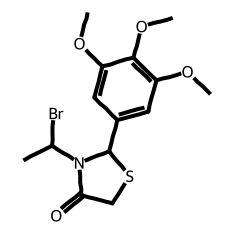 COc1cc(C2SCC(=O)N2C(C)Br)cc(OC)c1OC